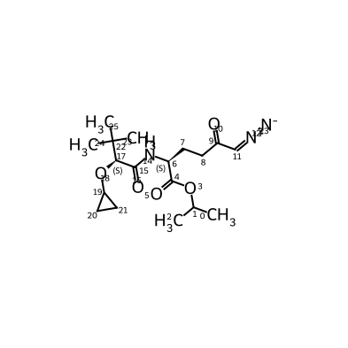 CC(C)OC(=O)[C@H](CCC(=O)C=[N+]=[N-])NC(=O)[C@@H](OC1CC1)C(C)(C)C